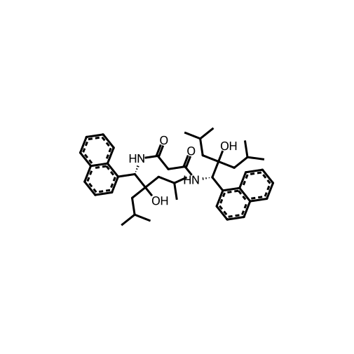 CC(C)CC(O)(CC(C)C)[C@@H](NC(=O)CC(=O)N[C@@H](c1cccc2ccccc12)C(O)(CC(C)C)CC(C)C)c1cccc2ccccc12